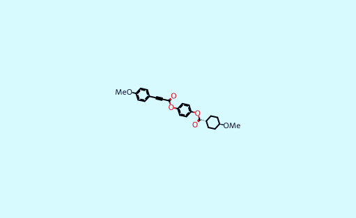 COc1ccc(C#CC(=O)Oc2ccc(OC(=O)[C@H]3CC[C@H](OC)CC3)cc2)cc1